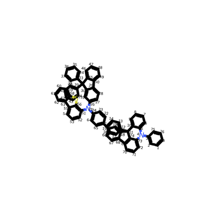 c1ccc(N2c3ccccc3C3(c4ccccc4)c4cc(-c5ccc(N(c6ccc7c(c6)C(c6ccccc6)(c6ccccc6)c6ccccc6-7)c6cccc7c6sc6ccccc67)cc5)ccc4-c4cccc2c43)cc1